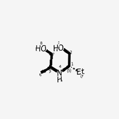 CC[C@@H](CO)NC(C)CO